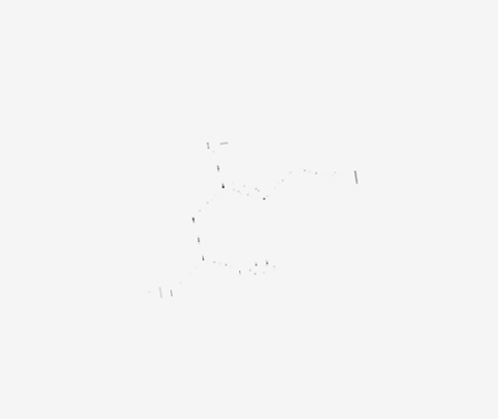 CCCC(CC(C)=CCO)OC